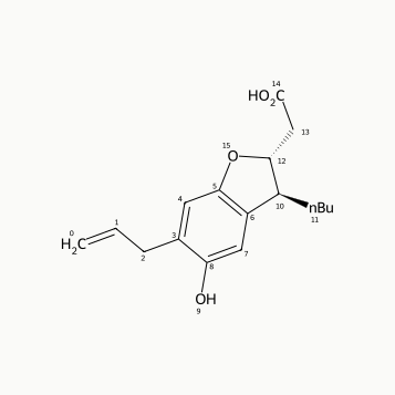 C=CCc1cc2c(cc1O)[C@H](CCCC)[C@@H](CC(=O)O)O2